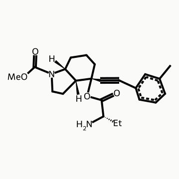 CC[C@H](N)C(=O)O[C@@]1(C#Cc2cccc(C)c2)CCC[C@@H]2[C@H]1CCN2C(=O)OC